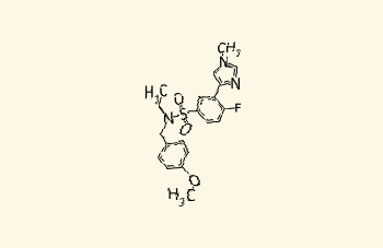 CCN(Cc1ccc(OC)cc1)S(=O)(=O)c1ccc(F)c(-c2cn(C)cn2)c1